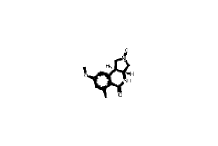 COc1cc(C)c2c(c1)[C@H]1CN(Cl)C[C@@H]1NC2=O